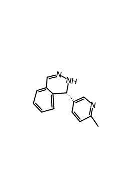 Cc1ccc([C@H]2NN=Cc3ccccc32)cn1